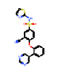 N#Cc1cc(S(=O)(=O)Nc2nccs2)ccc1Oc1ccccc1-c1cncnc1